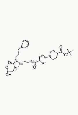 CC(C)(C)OC(=O)C1CCN(c2ccc(C(=O)NCC[C@@H]3C[C@@H](CC(=O)O)C(=O)N3CCCc3ccccc3)cc2)CC1